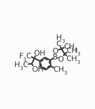 Cc1ccc(C(O)(C(C)O)C(F)(F)F)cc1B1OC(C)(C)C(C)(C)O1